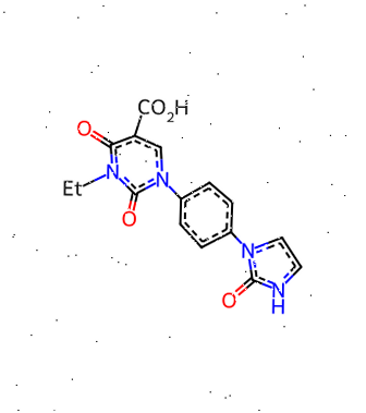 CCn1c(=O)c(C(=O)O)cn(-c2ccc(-n3cc[nH]c3=O)cc2)c1=O